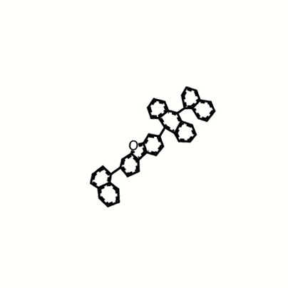 c1ccc2c(-c3ccc4c(c3)oc3cc(-c5c6ccccc6c(-c6cccc7ccccc67)c6ccccc56)ccc34)cccc2c1